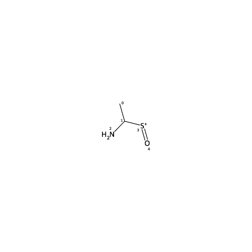 CC(N)[S+]=O